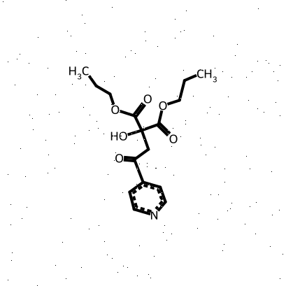 CCCOC(=O)C(O)(CC(=O)c1ccncc1)C(=O)OCCC